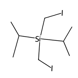 CC(C)[Si](CI)(CI)C(C)C